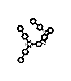 c1ccc(-c2ccc(-c3nc(-c4ccc(-c5ccccc5)cc4)nc(-c4ccc5oc6cc7c8ccccc8n(-c8ccc(-c9ccccc9)cc8)c7cc6c5c4)n3)cc2)cc1